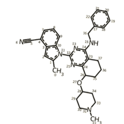 Cc1cc2c(C#N)cccc2n1-c1nc(NCc2ccccc2)c2c(n1)C(OC1CCN(C)CC1)CCC2